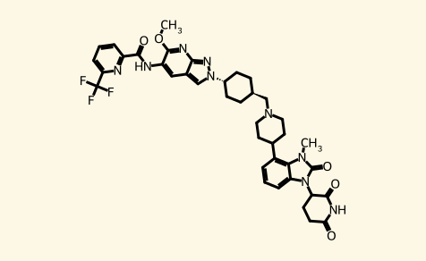 COc1nc2nn([C@H]3CC[C@H](CN4CCC(c5cccc6c5n(C)c(=O)n6C5CCC(=O)NC5=O)CC4)CC3)cc2cc1NC(=O)c1cccc(C(F)(F)F)n1